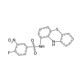 O=[N+]([O-])c1cc(S(=O)(=O)Nc2cccc3c2Nc2ccccc2S3)ccc1F